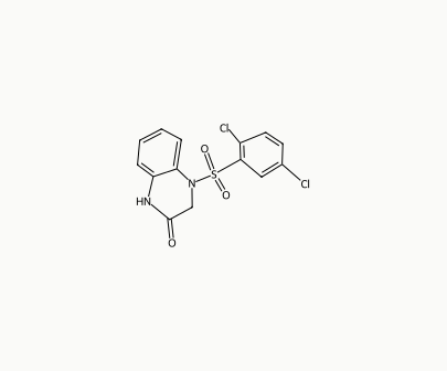 O=C1CN(S(=O)(=O)c2cc(Cl)ccc2Cl)c2ccccc2N1